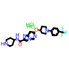 Cl.Cl.O=C(NC1CCNCC1)c1cn2cnc(OC3CCN(c4ccc(C(F)(F)F)cc4)CC3)cc2n1